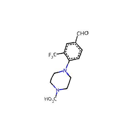 O=Cc1ccc(N2CCN(C(=O)O)CC2)c(C(F)(F)F)c1